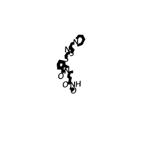 CC(CCC(=O)NC=O)N1Cc2c(SCc3nc(CN4CCCCCC4)cs3)cccc2C1=O